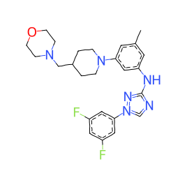 Cc1cc(Nc2ncn(-c3cc(F)cc(F)c3)n2)cc(N2CCC(CN3CCOCC3)CC2)c1